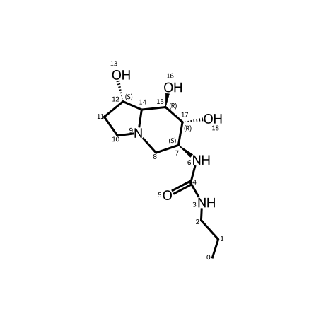 CCCNC(=O)N[C@H]1CN2CC[C@H](O)C2[C@@H](O)[C@@H]1O